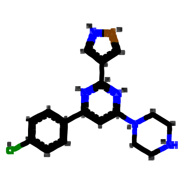 Clc1ccc(-c2cc(N3CCNCC3)nc(-c3cnsc3)n2)cc1